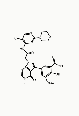 COc1cc(-c2cn(CC(=O)Nc3cc(N4CCOCC4)ncc3Cl)c3ncn(C)c(=O)c23)cc(C(N)=O)c1O